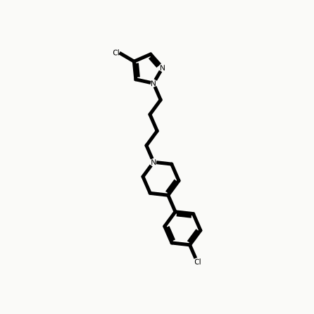 Clc1ccc(C2=CCN(CCCCn3cc(Cl)cn3)CC2)cc1